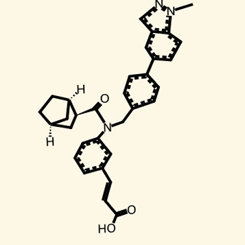 Cn1ncc2cc(-c3ccc(CN(C(=O)[C@H]4C[C@H]5CC[C@@H]4C5)c4cccc(/C=C/C(=O)O)c4)cc3)ccc21